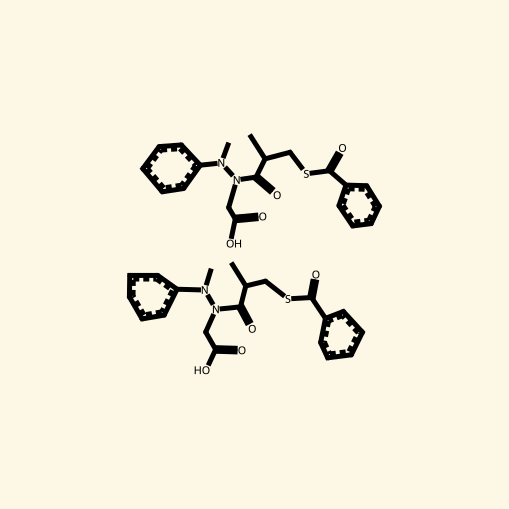 CC(CSC(=O)c1ccccc1)C(=O)N(CC(=O)O)N(C)c1ccccc1.CC(CSC(=O)c1ccccc1)C(=O)N(CC(=O)O)N(C)c1ccccc1